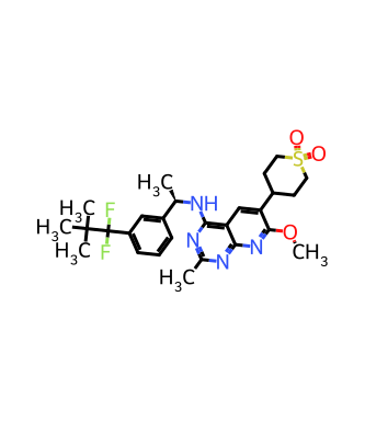 COc1nc2nc(C)nc(N[C@H](C)c3cccc(C(F)(F)C(C)(C)C)c3)c2cc1C1CCS(=O)(=O)CC1